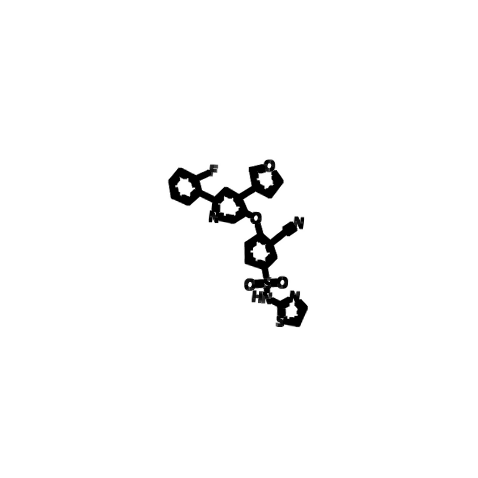 N#Cc1cc(S(=O)(=O)Nc2nccs2)ccc1Oc1cnc(-c2ccccc2F)cc1-c1ccoc1